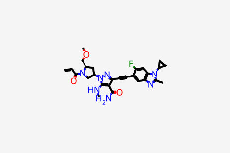 C=CC(=O)N1CC(n2nc(C#Cc3cc4nc(C)n(C5CC5)c4cc3F)c(C(N)=O)c2NC)C[C@@H]1COC